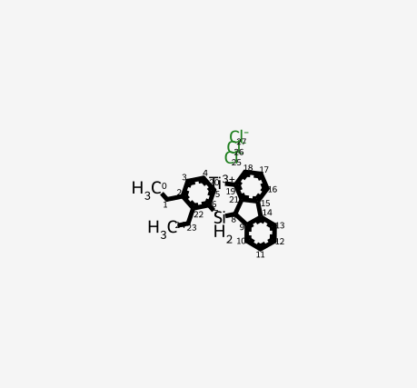 CCc1cccc([SiH2]C2c3ccccc3-c3ccc[c]([Ti+3])c32)c1CC.[Cl-].[Cl-].[Cl-]